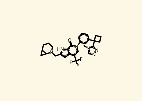 Cn1cnnc1C1(c2cccc(-n3cc(C(F)(F)F)c4cc(CN5CCCC6CC65)[nH]c4c3=O)c2)CCC1